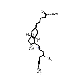 CC#CCC(C)C/C=C/C1[C@H](O)C[C@@H]2CC(=CCCCC(=O)OC)C[C@H]12